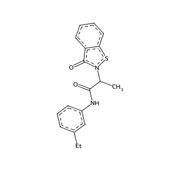 CCc1cccc(NC(=O)C(C)n2sc3ccccc3c2=O)c1